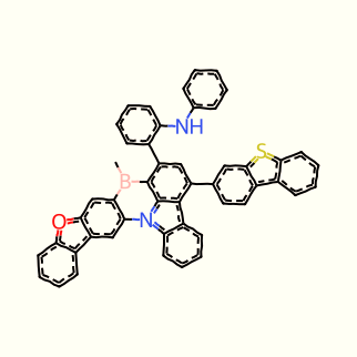 CB1c2cc3oc4ccccc4c3cc2-n2c3ccccc3c3c(-c4ccc5c(c4)sc4ccccc45)cc(-c4ccccc4Nc4ccccc4)c1c32